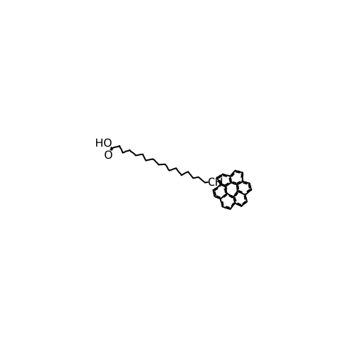 CCCCCCCCCCCCCCCCCC(=O)O.c1cc2ccc3ccc4ccc5ccc6ccc1c1c2c3c4c5c61